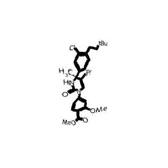 COC(=O)c1ccc(N2C=C(C(C)C)[C@](C)(c3ccc(CCC(C)(C)C)c(Cl)c3)NC2=O)cc1OC